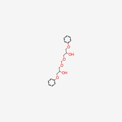 OC(COCOCC(O)COc1ccccc1)COc1ccccc1